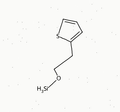 [SiH3]OCCc1cccs1